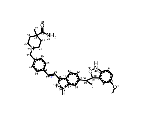 COc1ccc2c(c1)[C@]1(C[C@H]1c1ccc3c(/C=C/c4ccc(CN5CCC(C)(C(N)=O)CC5)cc4)n[nH]c3c1)ON2